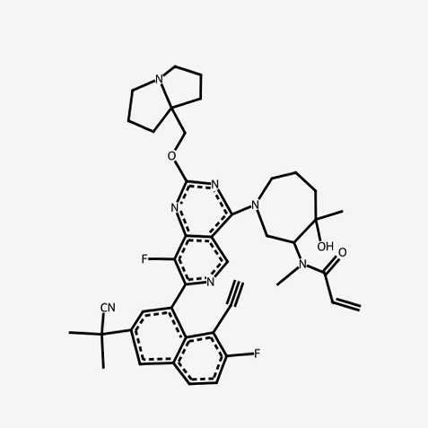 C#Cc1c(F)ccc2cc(C(C)(C)C#N)cc(-c3ncc4c(N5CCCC(C)(O)C(N(C)C(=O)C=C)C5)nc(OCC56CCCN5CCC6)nc4c3F)c12